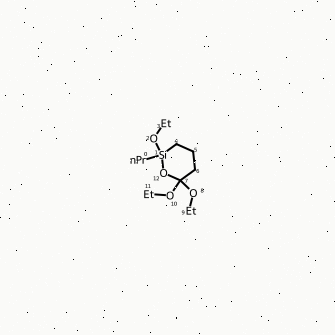 CCC[Si]1(OCC)CCCC(OCC)(OCC)O1